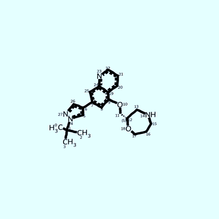 CC(C)(C)n1cc(-c2cc(OC[C@@H]3CNCCCO3)c3cccnc3c2)cn1